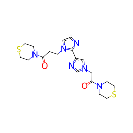 O=C(CCn1c[c]nc1-c1cn(CC(=O)N2CCSCC2)cn1)N1CCSCC1